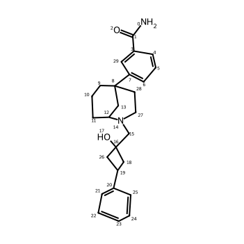 NC(=O)c1cccc(C23CCCC(C2)N(CC2(O)CC(c4ccccc4)C2)CC3)c1